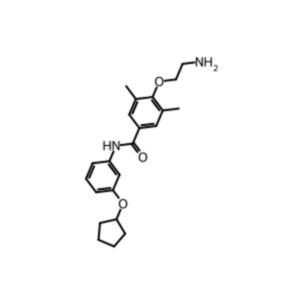 Cc1cc(C(=O)Nc2cccc(OC3CCCC3)c2)cc(C)c1OCCN